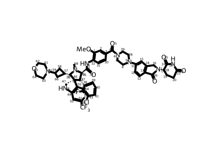 COc1cc(C(=O)N2CCN(c3ccc4c(c3)CN([C@H]3CCC(=O)NC3=O)C4=O)CC2)ccc1NC(=O)[C@H]1[C@H](c2cccc(Cl)c2F)[C@]2(CNc3cc(C(F)(F)F)ncc32)[C@H](C2CC(N3CCOCC3)C2)N1C